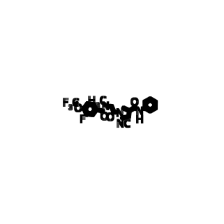 CN(CC(=O)N1CC(C(=O)Nc2ccccc2)CC1C#N)C(=O)c1ccc(OC(F)(F)F)c(F)c1